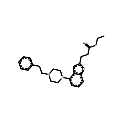 CCOC(=O)CCc1cc2c(N3CCN(CCc4ccccc4)CC3)cccc2s1